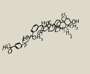 CCCC1(C(=O)NCc2cccc(C(=O)NCC(F)(F)c3ccc(C(=O)O)cc3)c2)CC[C@]2(C)C(CCC3C4(C)CCC(O)C(C)(C)C4CCC32C)C1C